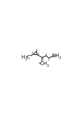 CC(CCN)C1CC1C